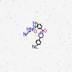 Cc1ccc(C(=O)N2CCC(c3ccc(C#N)cc3)CC2)cc1NC(=O)NCCCN(C)C